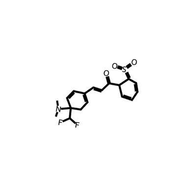 CN(C)C1(C(F)F)C=CC(C=CC(=O)C2C=CC=CC2=S(=O)=O)=CC1